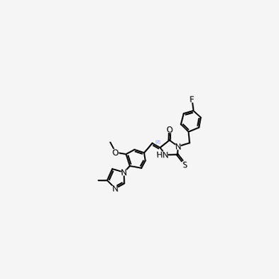 COc1cc(/C=C2\NC(=S)N(Cc3ccc(F)cc3)C2=O)ccc1-n1cnc(C)c1